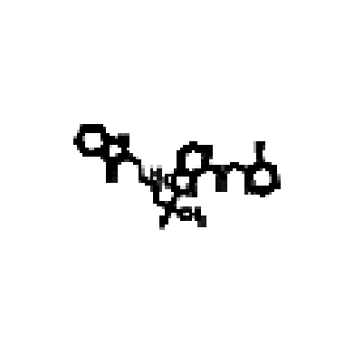 CC(F)(CNCCc1nc2ccccc2[nH]1)c1nc2c(NCc3ncccc3F)nccc2o1